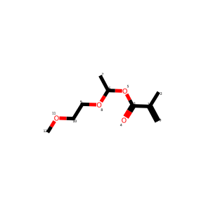 C=C(C)C(=O)O[C](C)OCCOC